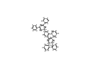 c1ccc(-c2nc(-c3ccccc3)nc(-c3ccc(-c4nc(-c5ccccc5)c(-c5ccccc5)nc4-c4cccnc4)cc3)n2)cc1